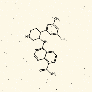 Cc1cc(C)cc(C2CCNCC2Nc2ncnc3c(C(N)=O)cccc23)c1